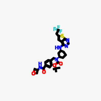 CC(C)(C)OC(=O)N(Cc1ccc(C(=O)NC2COC2)cc1)[C@H]1CCC[C@@H](Nc2ncnc3sc(CC(F)(F)F)cc23)C1